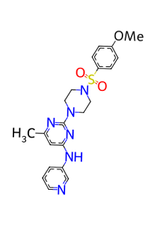 COc1ccc(S(=O)(=O)N2CCN(c3nc(C)cc(Nc4cccnc4)n3)CC2)cc1